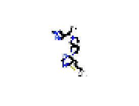 CC(C)[C@H](c1cnn(C)c1)N1CC[C@@]2(CCN(c3ncnc4sc(CC(F)(F)F)cc34)C2)C1